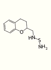 NSNCC1CCc2ccccc2O1